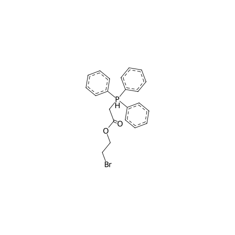 O=C(C[PH](c1ccccc1)(c1ccccc1)c1ccccc1)OCCBr